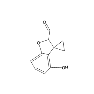 O=CC1Oc2cccc(O)c2C12CC2